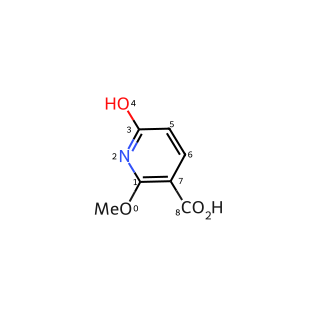 COc1nc(O)ccc1C(=O)O